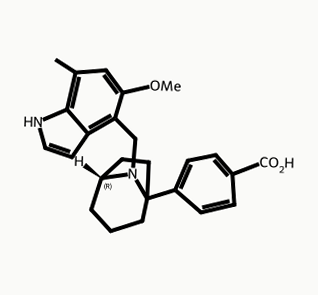 COc1cc(C)c2[nH]ccc2c1CN1[C@@H]2CCCC1(c1ccc(C(=O)O)cc1)CC2